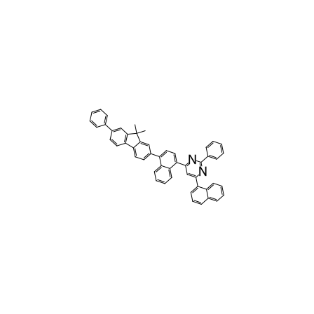 CC1(C)c2cc(-c3ccccc3)ccc2-c2ccc(-c3ccc(-c4cc(-c5cccc6ccccc56)nc(-c5ccccc5)n4)c4ccccc34)cc21